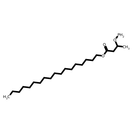 CCCCCCCCCCCCCCCCCCOC(=O)CC(C)OP